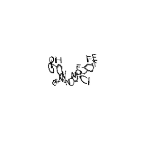 O=C(O)c1ccc2nc(CN3CCc4cc(Cl)c(OCc5ccc(C(F)(F)F)cc5F)nc4C3)n(C[C@@H]3CCO3)c2c1